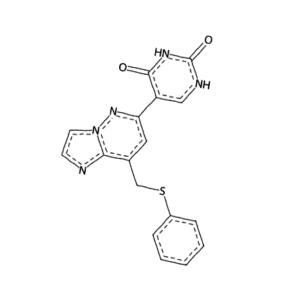 O=c1[nH]cc(-c2cc(CSc3ccccc3)c3nccn3n2)c(=O)[nH]1